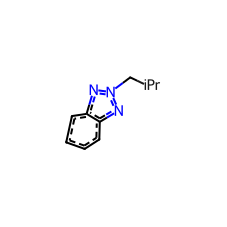 [CH2]C(C)Cn1nc2ccccc2n1